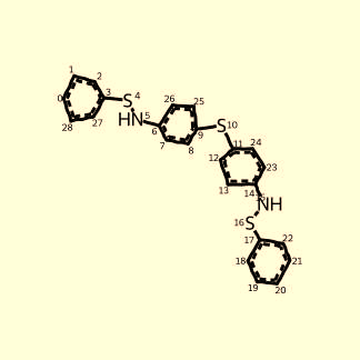 c1ccc(SNc2ccc(Sc3ccc(NSc4ccccc4)cc3)cc2)cc1